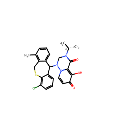 Cc1cccc2c1CSc1c(Cl)cccc1C2N1CN([C@H](C)C(F)(F)F)C(=O)c2c(O)c(=O)ccn21